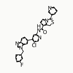 O=C(Nc1cc(-c2ccc3ncn(Cc4cccc(F)c4)c3c2)c(Cl)cn1)c1ccn2c1CS[C@@H]2c1cccnc1